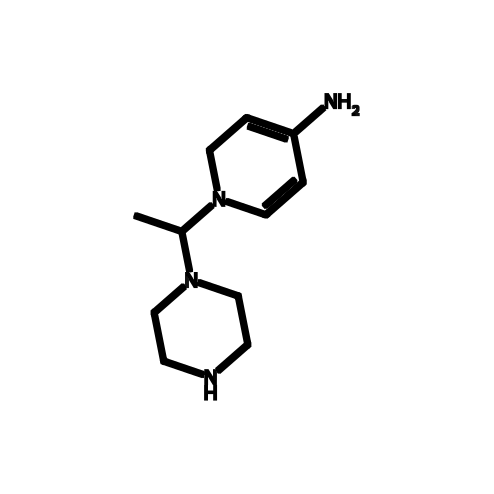 CC(N1C=CC(N)=CC1)N1CCNCC1